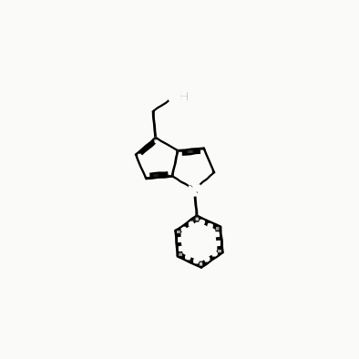 CCC1=CC=C2C1=CCN2c1ccccc1